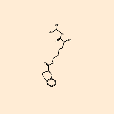 CCCCC(CCCC)NC(=O)N(C=O)CCCCNC(=O)C1COc2ccccc2O1